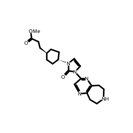 COC(=O)CC[C@H]1CC[C@H](n2ccn(-c3cnc4c(n3)CCNCC4)c2=O)CC1